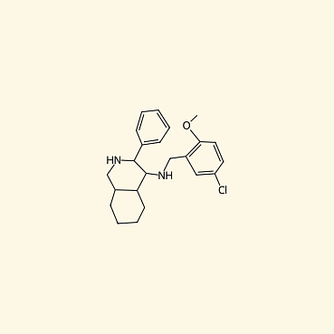 COc1ccc(Cl)cc1CNC1C(c2ccccc2)NCC2CCCCC21